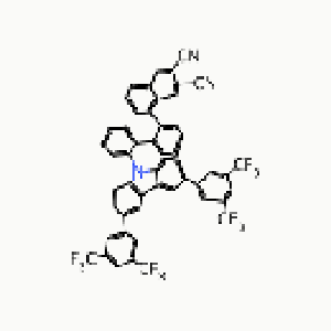 N#Cc1cc2cccc(-c3ccccc3-c3ccccc3-n3c4ccc(-c5cc(C(F)(F)F)cc(C(F)(F)F)c5)cc4c4cc(-c5cc(C(F)(F)F)cc(C(F)(F)F)c5)ccc43)c2cc1C#N